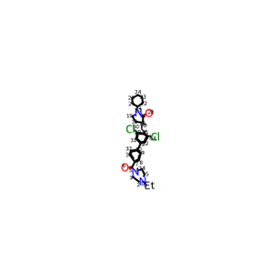 CCN1CCN(C(=O)c2ccc(-c3cc(Cl)c(CC4CCN(C5CCCCC5)C4=O)c(Cl)c3)cc2)CC1